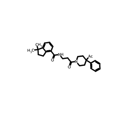 CC(=O)C1(c2ccccc2)CCN(C(=O)CCNC(=O)c2cccc3c2CCC3(C)C)CC1